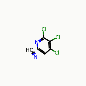 C#N.Clc1ccnc(Cl)c1Cl